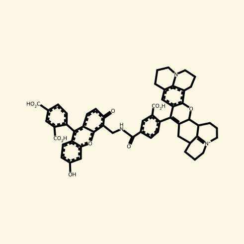 O=C(O)c1ccc(-c2c3ccc(=O)c(CNC(=O)c4ccc(C5=C6CC7CCC[N+]8=C7C(CCC8)C6Oc6c5cc5c7c6CCCN7CCC5)c(C(=O)O)c4)c-3oc3cc(O)ccc23)c(C(=O)O)c1